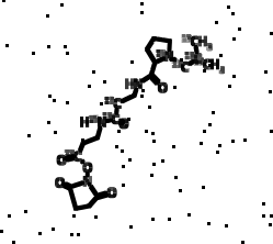 [13CH3][13CH]([13CH3])[13CH2][15N]1CCCC1C(=O)NC[13CH2][13C](=O)[15NH]CC[13C](=O)ON1C(=O)CCC1=O